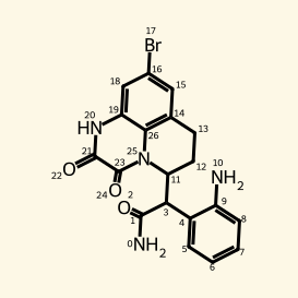 NC(=O)C(c1ccccc1N)C1CCc2cc(Br)cc3[nH]c(=O)c(=O)n1c23